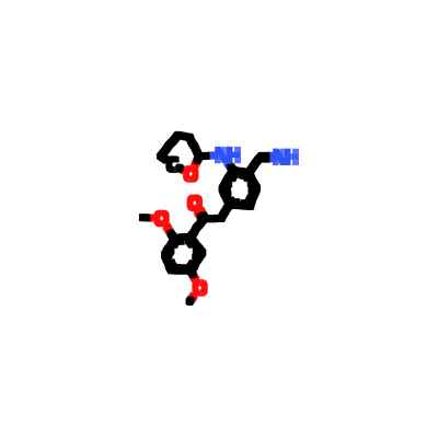 COc1ccc(OC)c(C(=O)Cc2ccc(C=N)c(NC3CCCCO3)c2)c1